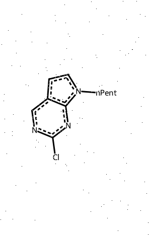 CCCCCn1ccc2cnc(Cl)nc21